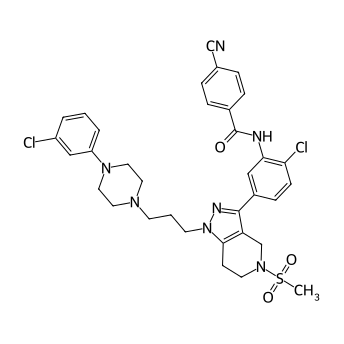 CS(=O)(=O)N1CCc2c(c(-c3ccc(Cl)c(NC(=O)c4ccc(C#N)cc4)c3)nn2CCCN2CCN(c3cccc(Cl)c3)CC2)C1